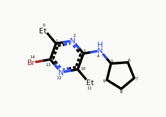 CCc1nc(NC2CCCC2)c(CC)nc1Br